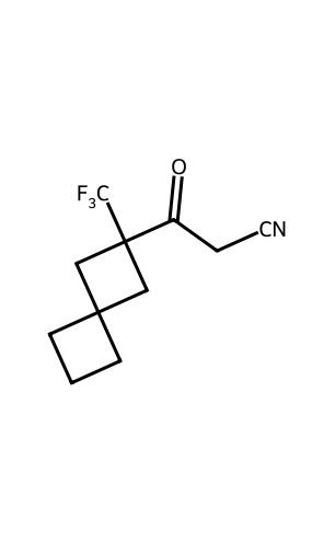 N#CCC(=O)C1(C(F)(F)F)CC2(CCC2)C1